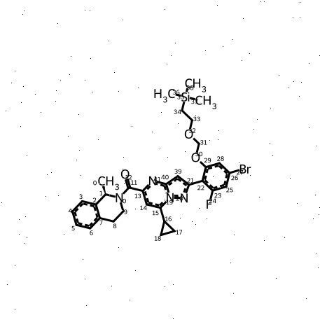 C[C@@H]1c2ccccc2CCN1C(=O)c1cc(C2CC2)n2nc(-c3c(F)cc(Br)cc3OCOCC[Si](C)(C)C)cc2n1